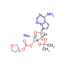 CC1(C)O[C@H]2[C@H](c3ccc4c(N)ncnn34)O[C@]3(C#N)C(OC(=O)O[C@@H]4CCOC4)[C@]23O1